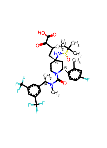 Cc1cc(F)ccc1[C@H]1C[C@@](CC(C)C(=O)C(=O)O)(N[S+]([O-])C(C)(C)C)CCN1C(=O)N(C)[C@H](C)c1cc(C(F)(F)F)cc(C(F)(F)F)c1